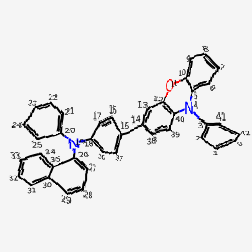 c1ccc(N2c3ccccc3Oc3cc(-c4ccc(N(c5ccccc5)c5cccc6ccccc56)cc4)ccc32)cc1